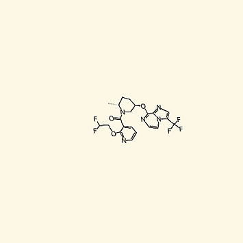 C[C@@H]1CC[C@@H](Oc2nccn3c(C(F)(F)F)cnc23)CN1C(=O)c1cccnc1OCC(F)F